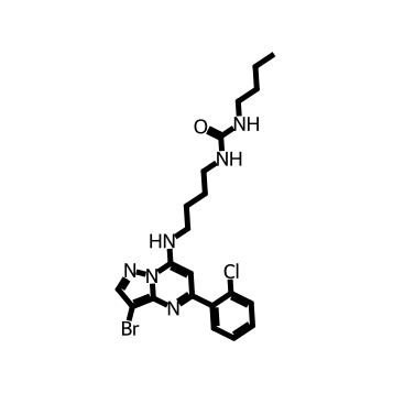 CCCCNC(=O)NCCCCNc1cc(-c2ccccc2Cl)nc2c(Br)cnn12